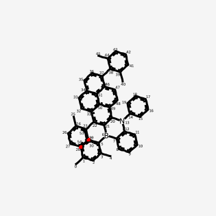 Cc1cc(C)c(B2c3ccccc3N(c3ccccc3)c3c2c(-c2c(C)cccc2C)c2ccc4ccc(-c5c(C)cccc5C)c5ccc3c2c45)c(C)c1